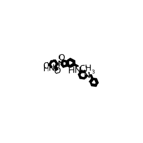 C[C@]1(NCc2ccc3c(c2)CN(C2CCC(=O)NC2=O)C3=O)CCCN(Cc2ccccc2)C1